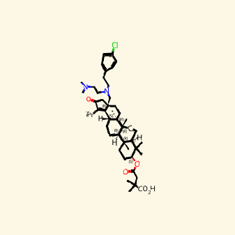 CC(C)C1=C2[C@H]3CC[C@@H]4[C@@]5(C)CC[C@H](OC(=O)CC(C)(C)C(=O)O)C(C)(C)[C@@H]5CC[C@@]4(C)[C@]3(C)CC[C@@]2(CN(CCc2ccc(Cl)cc2)CCN(C)C)CC1=O